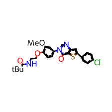 COc1cc(-n2cnc3cc(-c4ccc(Cl)cc4)sc3c2=O)ccc1OCCNC(=O)C(C)(C)C